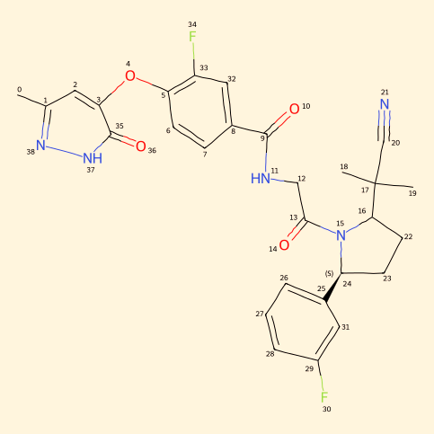 Cc1cc(Oc2ccc(C(=O)NCC(=O)N3C(C(C)(C)C#N)CC[C@H]3c3cccc(F)c3)cc2F)c(=O)[nH]n1